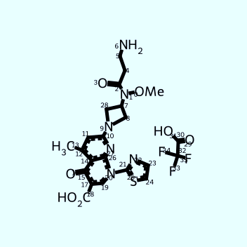 CON(C(=O)CCN)C1CN(c2cc(C)c3c(=O)c(C(=O)O)cn(-c4nccs4)c3n2)C1.O=C(O)C(F)(F)F